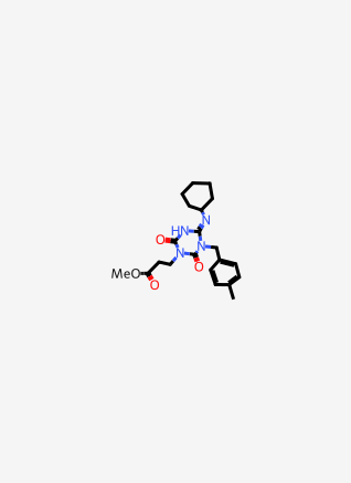 COC(=O)CCn1c(=O)[nH]/c(=N\C2CCCCC2)n(Cc2ccc(C)cc2)c1=O